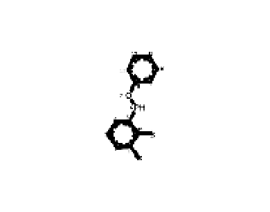 Cc1cccc(POc2ccccc2)c1C